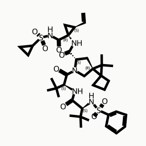 C=C[C@@H]1C[C@]1(NC(=O)[C@@H]1C[C@@]2(CN1C(=O)[C@@H](NC(=O)[C@@H](NS(=O)(=O)c1ccccc1)C(C)(C)C)C(C)(C)C)C(C)(C)C21CCC1)C(=O)NS(=O)(=O)C1CC1